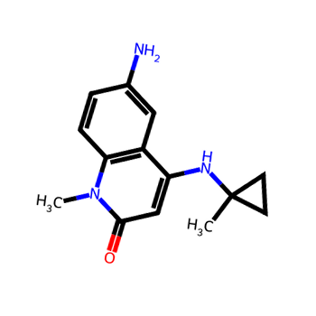 Cn1c(=O)cc(NC2(C)CC2)c2cc(N)ccc21